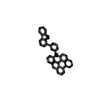 c1ccc(N(c2cccc(-c3cccc4c3sc3ccccc34)c2)c2ccccc2-c2cccc3cccc(C4CCCCC4)c23)cc1